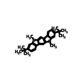 Cn1c2cc(C(C)(C)C)ccc2c2cc3c(cc21)c1ccc(C(C)(C)C)cc1n3C